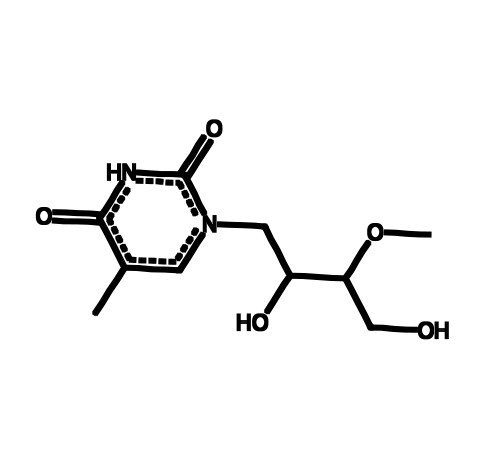 COC(CO)C(O)Cn1cc(C)c(=O)[nH]c1=O